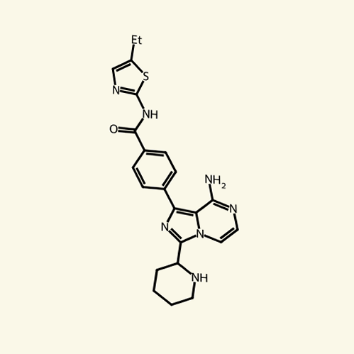 CCc1cnc(NC(=O)c2ccc(-c3nc(C4CCCCN4)n4ccnc(N)c34)cc2)s1